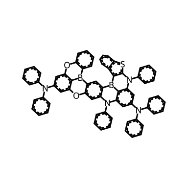 c1ccc(N(c2ccccc2)c2cc3c4c(c2)Oc2cc5c(cc2B4c2ccccc2O3)B2c3c(cc(N(c4ccccc4)c4ccccc4)cc3N(c3ccccc3)c3sc4ccccc4c32)N5c2ccccc2)cc1